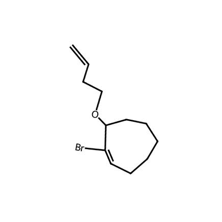 C=CCCOC1CCCCCC=C1Br